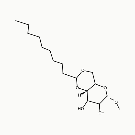 CCCCCCCCCC1OCC2O[C@H](OC)C(O)C(O)[C@@H]2O1